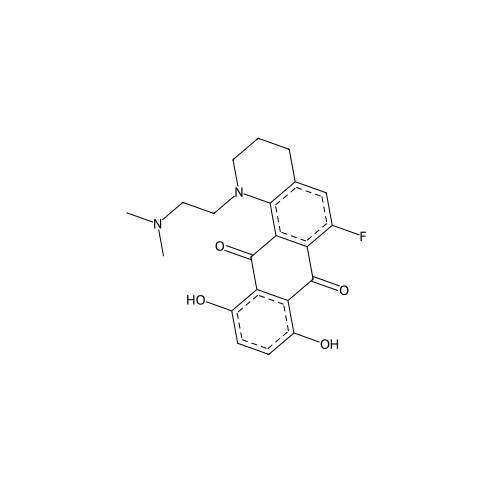 CN(C)CCN1CCCc2cc(F)c3c(c21)C(=O)c1c(O)ccc(O)c1C3=O